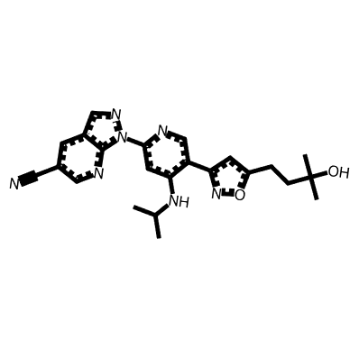 CC(C)Nc1cc(-n2ncc3cc(C#N)cnc32)ncc1-c1cc(CCC(C)(C)O)on1